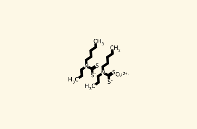 CCCCCN(CCC)C(=S)[S-].CCCCCN(CCC)C(=S)[S-].[Cu+2]